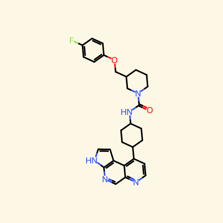 O=C(NC1CCC(c2ccnc3cnc4[nH]ccc4c23)CC1)N1CCCC(COc2ccc(F)cc2)C1